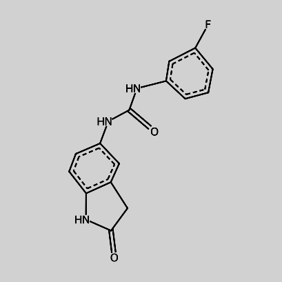 O=C1Cc2cc(NC(=O)Nc3cccc(F)c3)ccc2N1